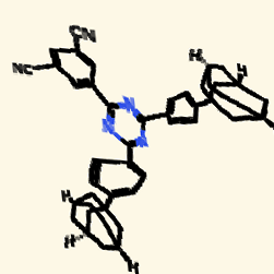 N#Cc1cc(C#N)cc(-c2nc(-c3ccc(C45C[C@H]6C[C@@H](C4)C[C@@H](C5)C6)cc3)nc(-c3ccc(C45C[C@H]6C[C@H](C4)C[C@@H](C5)C6)cc3)n2)c1